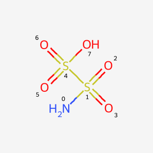 NS(=O)(=O)S(=O)(=O)O